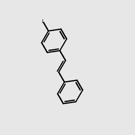 Ic1ccc(/C=C/c2ccccc2)cc1